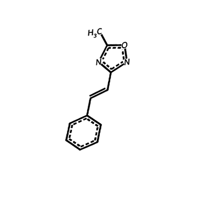 Cc1nc(C=Cc2ccccc2)no1